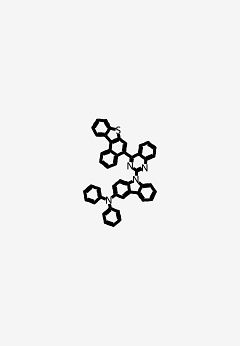 c1ccc(N(c2ccccc2)c2ccc3c(c2)c2ccccc2n3-c2nc(-c3cc4sc5ccccc5c4c4ccccc34)c3ccccc3n2)cc1